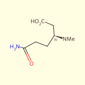 CN[C@@H](CCC(N)=O)CC(=O)O